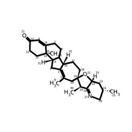 CC1=C2C[C@H]3C(CCC4=CC(=O)CC[C@@]43C)[C@@H]2CC[C@@]2(C1)O[C@@H]1C[C@H](C)CN=C1[C@H]2C